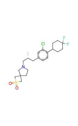 C[C@H](Cc1ccc(C2CCC(F)(F)CC2)c(Cl)c1)CN1CCC2(C1)CS(=O)(=O)C2